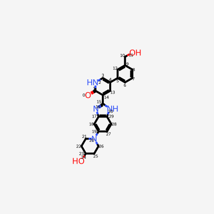 O=c1[nH]cc(-c2cccc(CO)c2)cc1-c1nc2cc(N3CCC(O)CC3)ccc2[nH]1